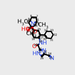 COC(=O)N1[C@@]2(C)C=C[C@]1(C)C[C@@](O)(c1ccc(NC(=O)c3nc(C#N)c[nH]3)c(C3=CCCCC3)c1)C2